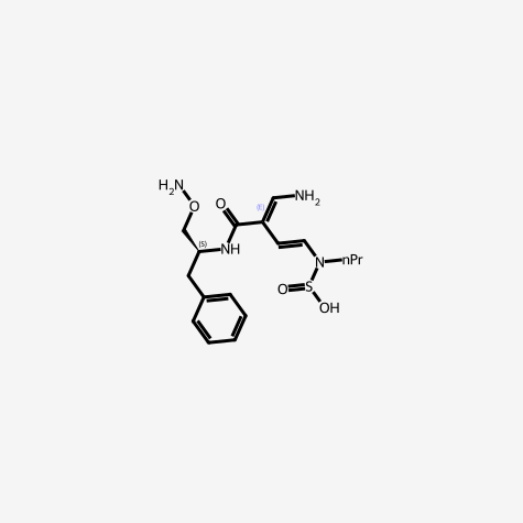 CCCN(C=C/C(=C\N)C(=O)N[C@H](CON)Cc1ccccc1)S(=O)O